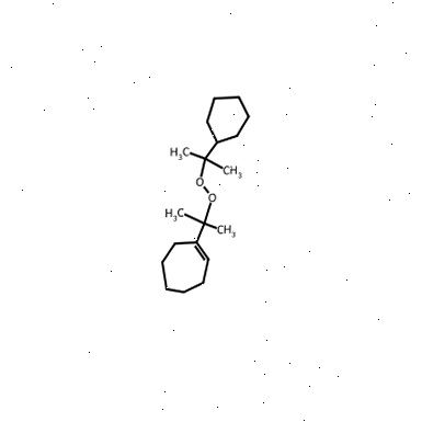 CC(C)(OOC(C)(C)C1CCCCC1)C1=CCCCCC1